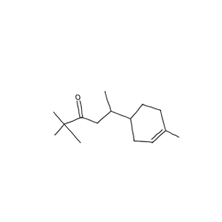 CC1=CCC(C(C)CC(=O)C(C)(C)C)CC1